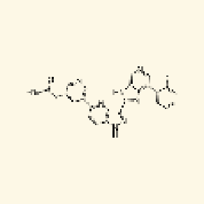 CC(C)(C)C(=O)Nc1cncc(-c2ccc3[nH]nc(-c4nc5c(-c6ccccc6F)cncc5[nH]4)c3n2)c1